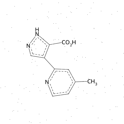 Cc1ccnc(-c2cn[nH]c2C(=O)O)c1